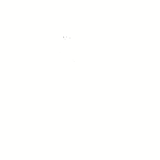 COC(=O)C(=O)C(Cl)c1cccc(F)c1C